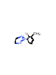 Cc1cccc(-n2nccn2)c1C